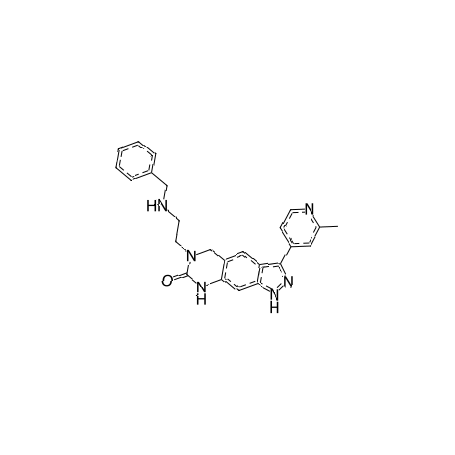 Cc1cc(-c2n[nH]c3cc4c(cc23)CN(CCNCc2ccccc2)C(=O)N4)ccn1